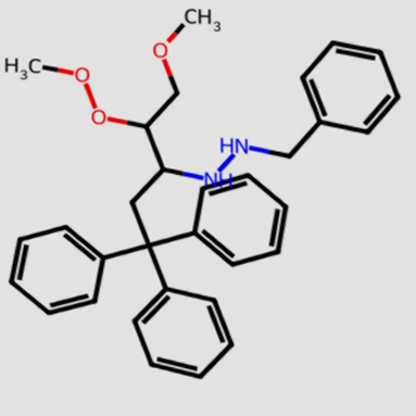 COCC(OOC)C(CC(c1ccccc1)(c1ccccc1)c1ccccc1)NNCc1ccccc1